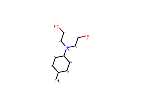 CC1CCC(N(CCO)CCO)CC1